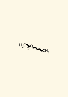 [CH2]CC(=O)OCCCCCC